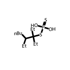 CCCCC(CC)C(CC)(CC)SP(O)(O)=S